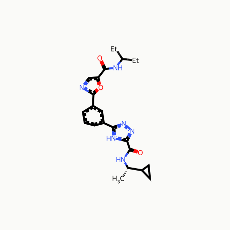 CCC(CC)NC(=O)c1cnc(-c2cccc(-c3nnc(C(=O)N[C@@H](C)C4CC4)[nH]3)c2)o1